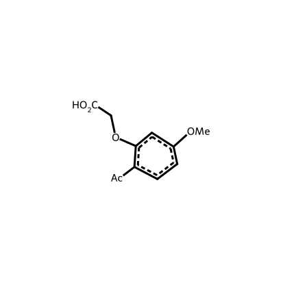 COc1ccc(C(C)=O)c(OCC(=O)O)c1